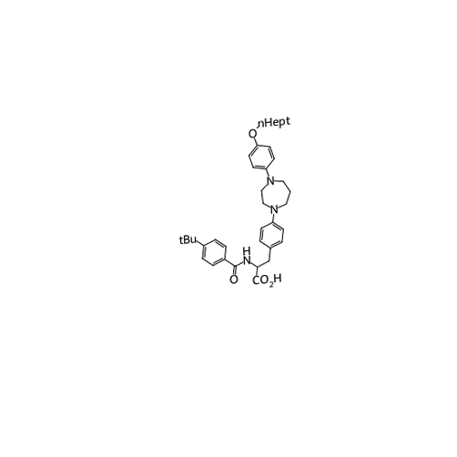 CCCCCCCOc1ccc(N2CCCN(c3ccc(CC(NC(=O)c4ccc(C(C)(C)C)cc4)C(=O)O)cc3)CC2)cc1